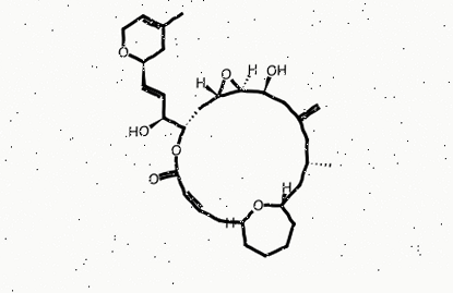 C=C1C[C@H](C)C[C@@H]2CCCC[C@@H](C/C=C\C(=O)O[C@H]([C@@H](O)/C=C/[C@@H]3CC(C)=CCO3)C[C@@H]3O[C@H]3[C@@H](O)C1)O2